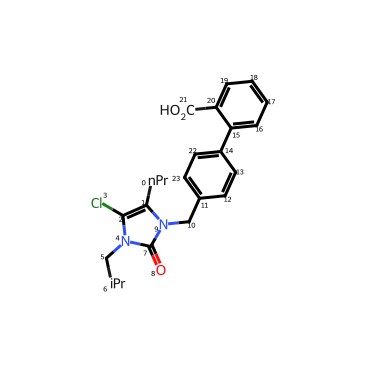 CCCc1c(Cl)n(CC(C)C)c(=O)n1Cc1ccc(-c2ccccc2C(=O)O)cc1